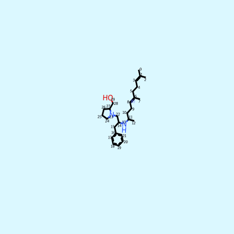 CC(C)=CCC/C(C)=C/CCC(C)NC(Cc1ccccc1)CN1CCCC1CO